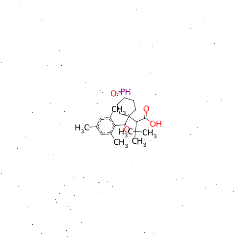 Cc1cc(C)c(C(=O)C2(C(C(=O)O)C(C)(C)C)CCCCC2)c(C)c1.O=P